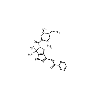 CCN1C[C@H](C)N(C(=O)N2Cc3c(NC(=O)c4ccccn4)n[nH]c3C2(C)C)C[C@H]1C